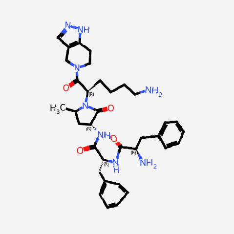 CC1C[C@@H](NC(=O)[C@@H](Cc2ccccc2)NC(=O)[C@H](N)Cc2ccccc2)C(=O)N1[C@H](CCCCN)C(=O)N1CCc2[nH]ncc2C1